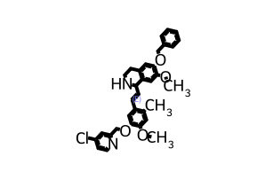 COc1cc2c(cc1OCc1ccccc1)CCNC2/C=C/c1cc(OCc2cc(Cl)ccn2)c(OC)cc1C